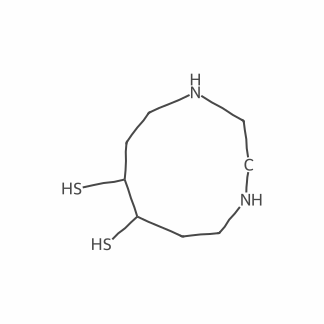 SC1CCNCCNCCC1S